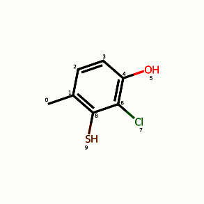 Cc1ccc(O)c(Cl)c1S